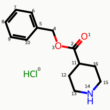 Cl.O=C(OCc1ccccc1)C1CCNCC1